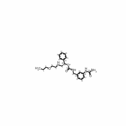 CCCOCCNC[C@H](OC(=O)NCc1cccc(NC(N)=O)c1)c1ccccc1